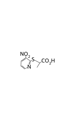 CC(Sc1ncccc1[N+](=O)[O-])C(=O)O